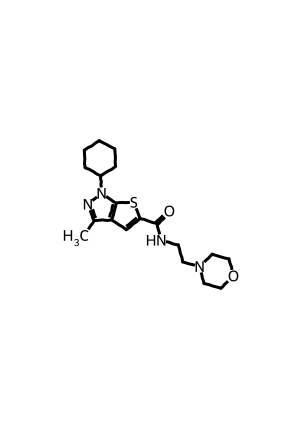 Cc1nn(C2CCCCC2)c2sc(C(=O)NCCN3CCOCC3)cc12